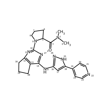 CN(C)C(=O)C1CCCN1c1nc2c(c(Nc3cc(-c4ccncc4)[nH]n3)n1)CCC2